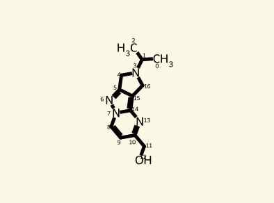 CC(C)N1Cc2nn3ccc(CO)nc3c2C1